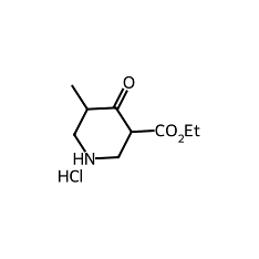 CCOC(=O)C1CNCC(C)C1=O.Cl